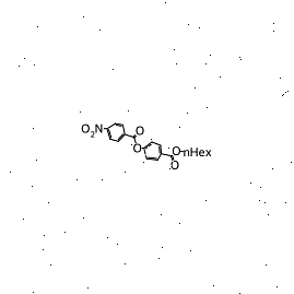 CCCCCCOC(=O)c1ccc(OC(=O)c2ccc([N+](=O)[O-])cc2)cc1